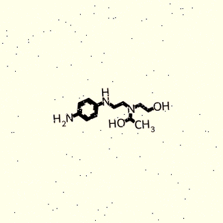 CC(O)N(CCO)CCNc1ccc(N)cc1